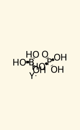 O=P(O)(O)O.OB(O)O.[Y]